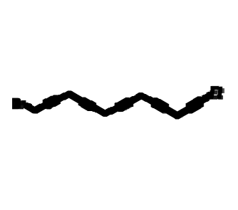 CCC#CCC#CCC#CCC#CCC#CCBr